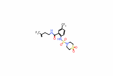 C=C(CCNC(=O)c1cc(C(F)(F)F)ccc1NS(=O)(=O)N1CCS(=O)(=O)CC1)C(F)(F)F